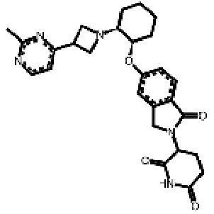 Cc1nccc(C2CN([C@H]3CCCC[C@H]3Oc3ccc4c(c3)CN(C3CCC(=O)NC3=O)C4=O)C2)n1